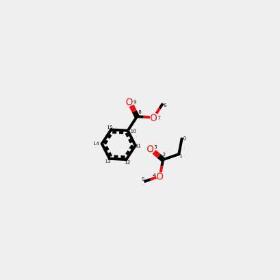 CCC(=O)OC.COC(=O)c1ccccc1